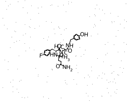 CC(C)(NC(=O)[C@H](Cc1ccc(F)cc1)NC(=O)CCC(N)=O)C(=O)NCCc1ccc(O)cc1